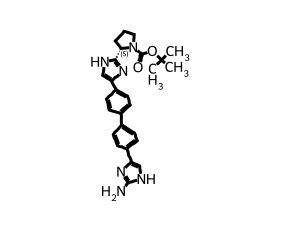 CC(C)(C)OC(=O)N1CCC[C@H]1c1nc(-c2ccc(-c3ccc(-c4c[nH]c(N)n4)cc3)cc2)c[nH]1